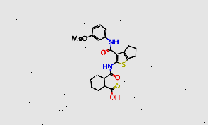 COc1cccc(NC(=O)c2c(NC(=O)C3CCCCC3C(O)=S)sc3c2CCC3)c1